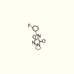 O=c1c2nc(-c3cccc(F)c3)oc2nc2n1CCC2